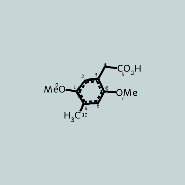 COc1cc(CC(=O)O)c(OC)cc1C